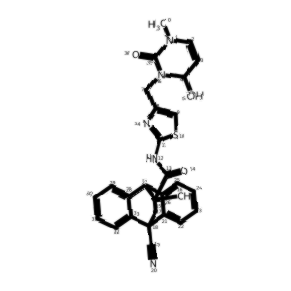 CN1C=CC(O)N(Cc2csc(NC(=O)C3(C)CC4(C#N)c5ccccc5C3c3ccccc34)n2)C1=O